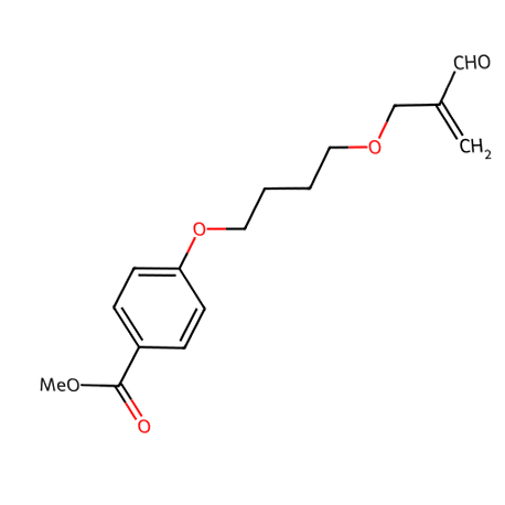 C=C(C=O)COCCCCOc1ccc(C(=O)OC)cc1